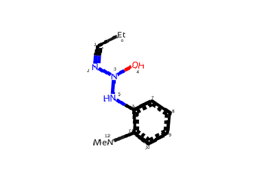 CC/C=N\N(O)Nc1ccccc1NC